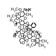 CCC1O[C@H](O[C@@H]2C(C(C)=O)O[C@@H](O[C@@H]3C(CC)O[C@H](O[C@@H]4C(C(C)=O)O[C@@H](O[C@@H]5C(COC(C)=O)O[C@H](OC)C(N=[N+]=[N-])[C@H]5C)C(OC(=O)c5ccccc5)[C@H]4C)C(N=[N+]=[N-])[C@H]3C)C(OC3CCCCO3)[C@H]2C)C(N=[N+]=[N-])[C@@H](C)[C@@H]1C